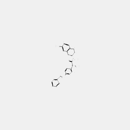 O=C(N[C@H]1CCc2ccc(O)cc2C1)[C@@H](O)c1ccc(OCc2ccccc2)cc1